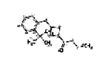 CCCC(=O)N1CC(Cc2ccccc2C(C)(C)C)C1